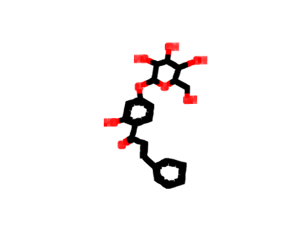 O=C(/C=C/c1ccccc1)c1ccc(OC2OC(CO)C(O)C(O)C2O)cc1O